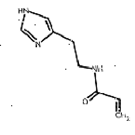 C=CC(=O)NCCc1c[nH]cn1